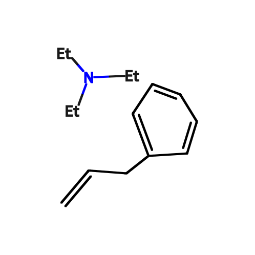 C=CCc1ccccc1.CCN(CC)CC